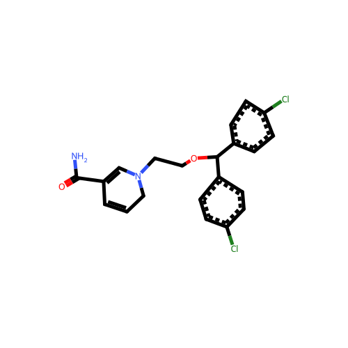 NC(=O)C1=CN(CCOC(c2ccc(Cl)cc2)c2ccc(Cl)cc2)CC=C1